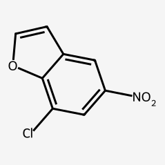 O=[N+]([O-])c1cc(Cl)c2occc2c1